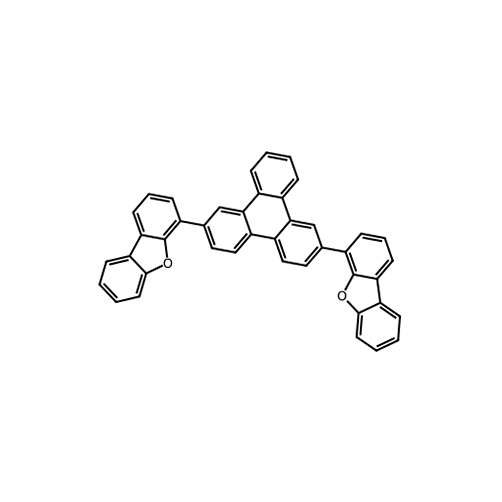 c1ccc2c(c1)oc1c(-c3ccc4c5ccc(-c6cccc7c6oc6ccccc67)cc5c5ccccc5c4c3)cccc12